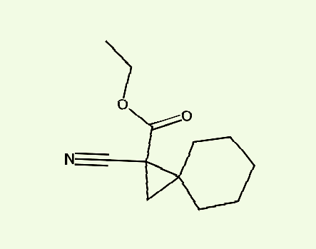 CCOC(=O)C1(C#N)CC12CCCCC2